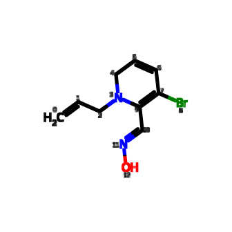 C=CCN1CC=CC(Br)=C1C=NO